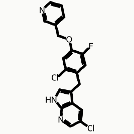 Fc1cc(Cc2c[nH]c3ncc(Cl)cc23)c(Cl)cc1OCc1cccnc1